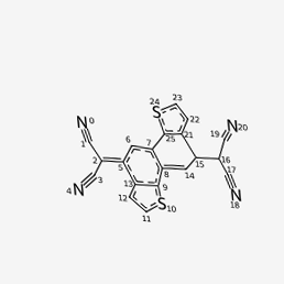 N#CC(C#N)=c1cc2c(c3sccc13)=CC(C(C#N)C#N)c1ccsc1-2